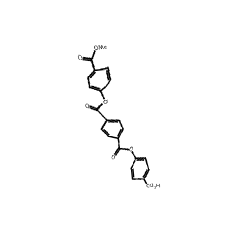 COC(=O)c1ccc(OC(=O)c2ccc(C(=O)Oc3ccc(C(=O)O)cc3)cc2)cc1